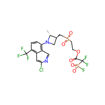 C[C@@H]1[C@@H](CS(=O)(=O)CCOC(=O)C(F)(F)S(=O)(=O)F)CN1c1ccc(C(F)(F)F)c2cc(Cl)ncc12